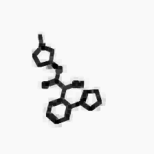 CN1CC[C@H](OC(=O)C(O)c2ccccc2C2=CCCC2)C1